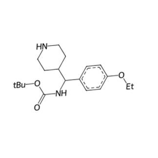 CCOc1ccc(C(NC(=O)OC(C)(C)C)C2CCNCC2)cc1